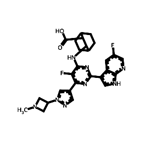 CN1CC(n2cc(-c3nc(-c4c[nH]c5ncc(F)cc45)nc(NC4C5CCC(CC5)C4C(=O)O)c3F)cn2)C1